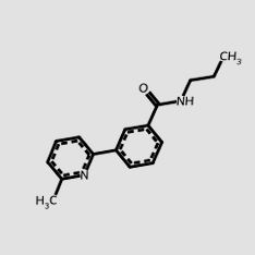 CCCNC(=O)c1cccc(-c2cccc(C)n2)c1